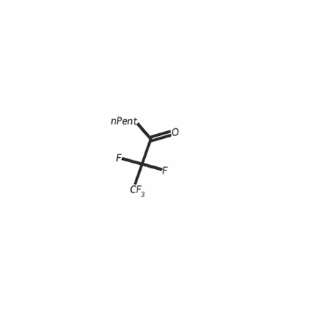 CCCCCC(=O)C(F)(F)C(F)(F)F